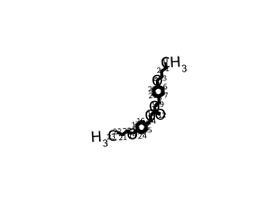 CCCCOc1ccc(COC(=O)OCc2ccc(OCCCC)cc2)cc1